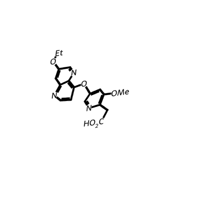 CCOc1cnc2c(Oc3cnc(CC(=O)O)c(OC)c3)ccnc2c1